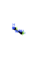 N[C@@H](CNc1nnc(-c2cc3cn[nH]c3cc2F)s1)Cc1ccc(C(F)(F)F)cc1